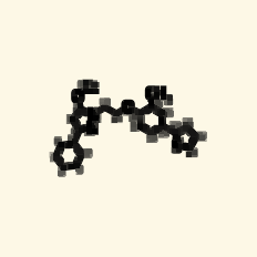 CCOc1cc(-c2ccccc2)nn1CCOc1ccc(-c2cccs2)cc1C